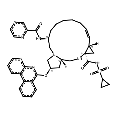 O=C(N[C@H]1CCCCCC=C[C@@H]2C[C@@]2(C(=O)NS(=O)(=O)C2CC2)NC[C@@H]2C[C@@H](Oc3nc4ncccc4c4ccccc34)CN2C1)c1cnccn1